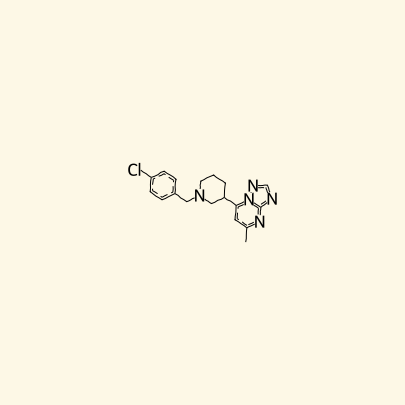 Cc1cc(C2CCCN(Cc3ccc(Cl)cc3)C2)n2ncnc2n1